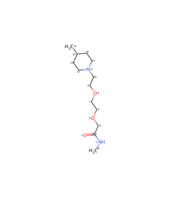 CNC(=O)COCCOCCN1CCC(C)CC1